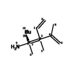 C=CP(C)(C(=C)C)=P(C)(N)[C@H](C)CC